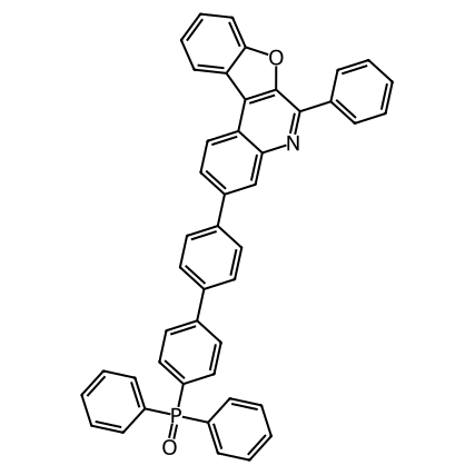 O=P(c1ccccc1)(c1ccccc1)c1ccc(-c2ccc(-c3ccc4c(c3)nc(-c3ccccc3)c3oc5ccccc5c34)cc2)cc1